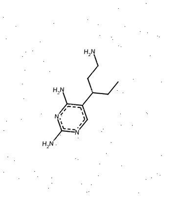 CCC(CCN)c1cnc(N)nc1N